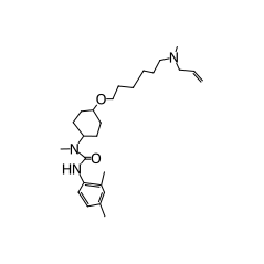 C=CCN(C)CCCCCCOC1CCC(N(C)C(=O)Nc2ccc(C)cc2C)CC1